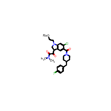 COCCN1CC(C(=O)C(=O)N(C)C)c2cc(C(=O)N3CCC(Cc4ccc(F)cc4)CC3)c(Cl)cc21